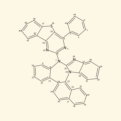 c1ccc(-c2nc(N3c4ccccc4-c4ccc5ccccc5c4-n4c3nc3ccccc34)nc3c2sc2ccccc23)cc1